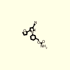 N#Cc1cc(-c2ccco2)n(-c2cccc(COC(N)=O)c2)n1